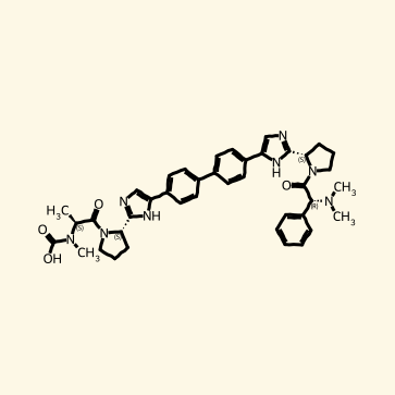 C[C@@H](C(=O)N1CCC[C@H]1c1ncc(-c2ccc(-c3ccc(-c4cnc([C@@H]5CCCN5C(=O)[C@@H](c5ccccc5)N(C)C)[nH]4)cc3)cc2)[nH]1)N(C)C(=O)O